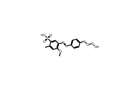 COc1cc(C)c(S(=O)(=O)O)cc1N=Nc1ccc(SOOO)cc1